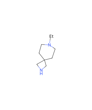 CCN1CCC2(CC1)CNC2